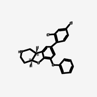 Clc1ccc(-c2cc(Oc3ccccc3)c3c(c2)[C@@H]2CNCC[C@@H]2O3)c(Cl)c1